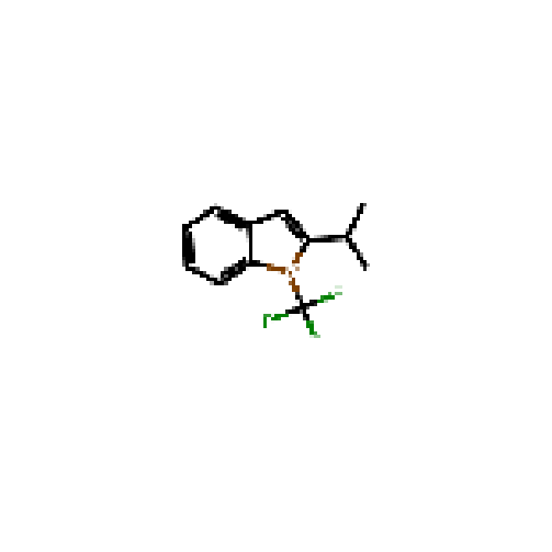 CC(C)c1cc2ccccc2[s+]1C(F)(F)F